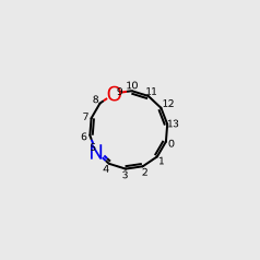 C1=CC=CC=NC=CCOC=CC=C1